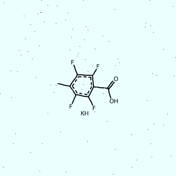 Cc1c(F)c(F)c(C(=O)O)c(F)c1F.[KH]